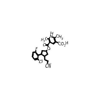 CC1=C(C(=O)O)CC(C(=O)OC2CC(CCC#N)C(c3c(F)cccc3Cl)C2)=C(C)N1